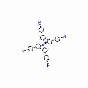 N#Cc1ccc(-c2ccc3c(c2)c2cc(-c4ccc(C#N)cc4)ccc2n3-n2c3ccc(-c4ccc(C#N)cc4)cc3c3cc(-c4ccc(C#N)cc4)ccc32)cc1